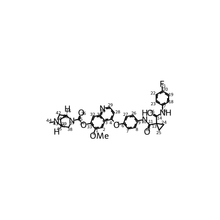 COc1cc2c(Oc3ccc(NC(=O)C4(C(=O)Nc5ccc(F)cc5)CC4)cc3)ccnc2cc1OC(=O)N1C[C@@H]2C[C@H]1CN2C